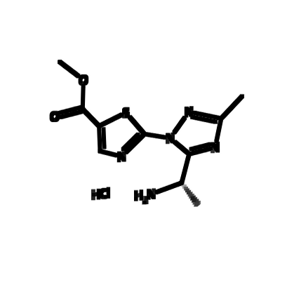 COC(=O)c1cnc(-n2nc(C)nc2[C@H](C)N)s1.Cl